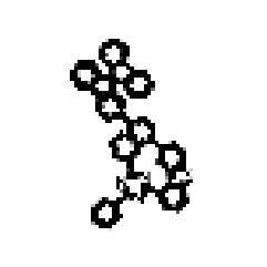 c1ccc(-c2nc(-c3ccccc3)nc(-c3cccc4sc5ccc(-c6ccc(-c7ccc8c(c7)C7(c9ccccc9-c9ccccc97)c7ccccc7-8)cc6)cc5c34)n2)cc1